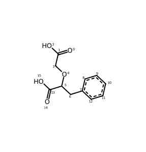 O=C(O)COC(Cc1ccccc1)C(=O)O